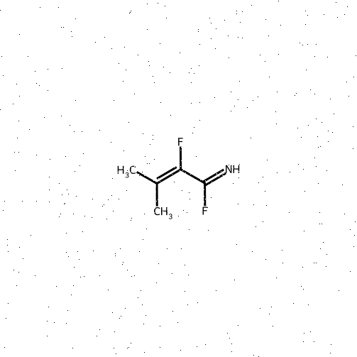 CC(C)=C(F)C(=N)F